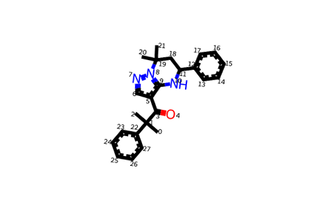 CC(C)(C(=O)c1cnn2c1NC(c1ccccc1)CC2(C)C)c1ccccc1